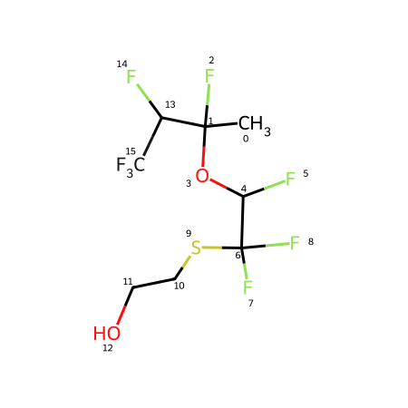 CC(F)(OC(F)C(F)(F)SCCO)C(F)C(F)(F)F